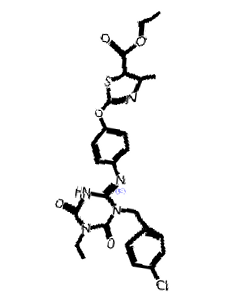 CCOC(=O)C1SC(Oc2ccc(/N=c3\[nH]c(=O)n(CC)c(=O)n3Cc3ccc(Cl)cc3)cc2)=NC1C